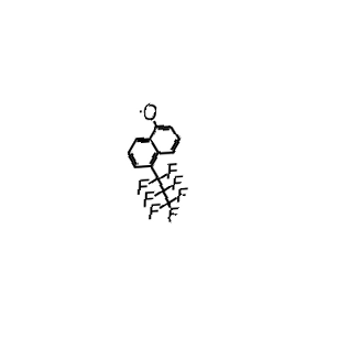 [O]c1cccc2c(C(F)(F)C(F)(F)C(F)(F)F)cccc12